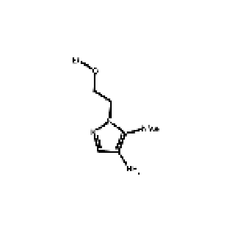 CCOCCn1ncc(N)c1NC